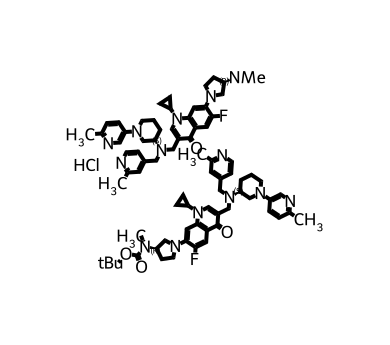 CN[C@@H]1CCN(c2cc3c(cc2F)c(=O)c(CN(Cc2ccnc(C)c2)[C@H]2CCCN(c4ccc(C)nc4)C2)cn3C2CC2)C1.Cc1ccc(N2CCC[C@H](N(Cc3ccnc(C)c3)Cc3cn(C4CC4)c4cc(N5CC[C@@H](N(C)C(=O)OC(C)(C)C)C5)c(F)cc4c3=O)C2)cn1.Cl